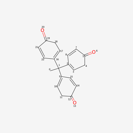 CC(C1=CCC(=O)C=C1)(C1=CCC(=O)C=C1)C1=CCC(=O)C=C1